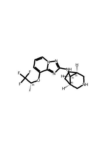 C[C@@H](Oc1cccn2nc(N[C@@H]3[C@@H]4CC[C@H]3CNC4)nc12)C(F)(F)F